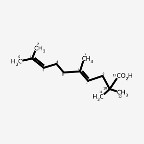 CC(C)=CCC/C(C)=C/CC(C)(C)C(=O)O